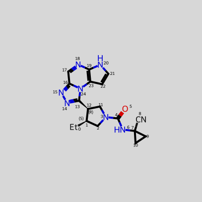 CC[C@@H]1CN(C(=O)NC2(C#N)CC2)C[C@@H]1c1nnc2cnc3[nH]ccc3n12